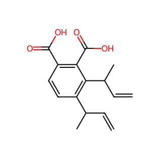 C=CC(C)c1ccc(C(=O)O)c(C(=O)O)c1C(C)C=C